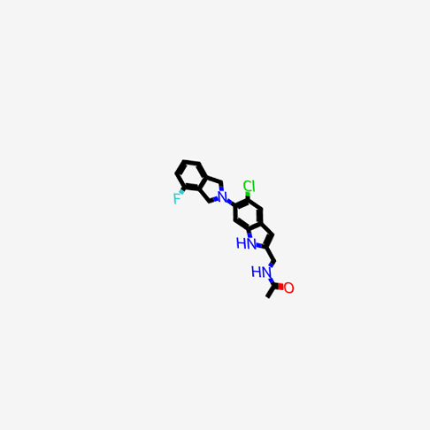 CC(=O)NCc1cc2cc(Cl)c(N3Cc4cccc(F)c4C3)cc2[nH]1